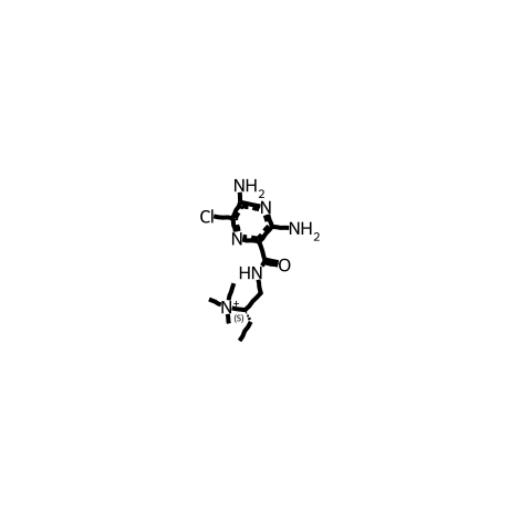 CC[C@@H](CNC(=O)c1nc(Cl)c(N)nc1N)[N+](C)(C)C